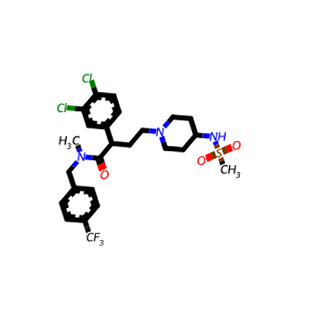 CN(Cc1ccc(C(F)(F)F)cc1)C(=O)C(CCN1CCC(NS(C)(=O)=O)CC1)c1ccc(Cl)c(Cl)c1